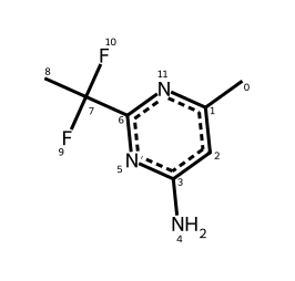 Cc1cc(N)nc(C(C)(F)F)n1